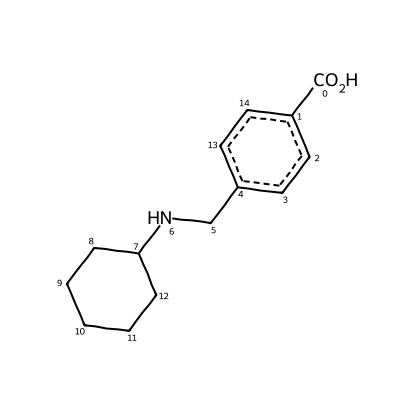 O=C(O)c1ccc(CNC2CCCCC2)cc1